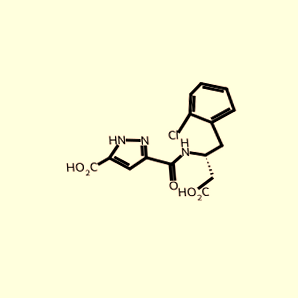 O=C(O)C[C@@H](Cc1ccccc1Cl)NC(=O)c1cc(C(=O)O)[nH]n1